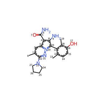 Cc1cc2c(C(N)=O)c(N)c(-c3c(C)ccc(O)c3C)n2nc1N1CCCC1